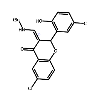 CC(C)(C)N/C=C1\C(=O)c2cc(Cl)ccc2OC1c1cc(Cl)ccc1O